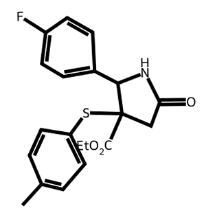 CCOC(=O)C1(Sc2ccc(C)cc2)CC(=O)NC1c1ccc(F)cc1